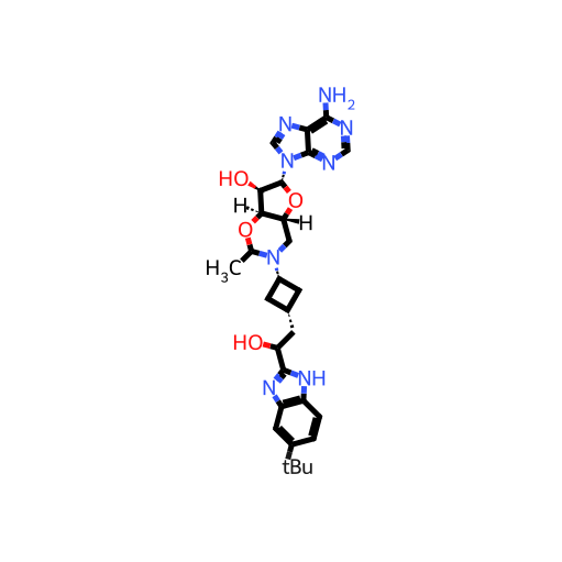 CC1O[C@H]2[C@@H](O)[C@H](n3cnc4c(N)ncnc43)O[C@@H]2CN1[C@H]1C[C@@H](CC(O)c2nc3cc(C(C)(C)C)ccc3[nH]2)C1